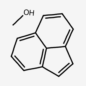 C1=Cc2cccc3cccc1c23.CO